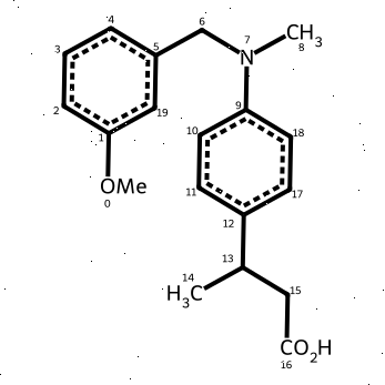 COc1cccc(CN(C)c2ccc(C(C)CC(=O)O)cc2)c1